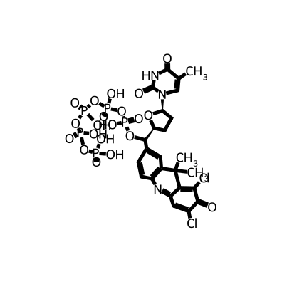 Cc1cn([C@H]2CC[C@@H](C(OP(=O)(O)OP(=O)(O)OP(=O)(O)OP(=O)(O)OP(=O)(O)O)c3ccc4c(c3)C(C)(C)C3=C(Cl)C(=O)C(Cl)=CC3=N4)O2)c(=O)[nH]c1=O